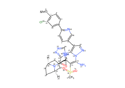 COc1ccc(-c2ccc(-c3cnn4c(N)c(S(C)(=O)=O)c([C@H]5C[C@H]6CC[C@@H](C5)N6C(=O)c5nnc[nH]5)nc34)cn2)cc1Cl